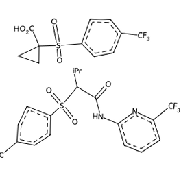 CC(C)C(C(=O)Nc1cccc(C(F)(F)F)n1)S(=O)(=O)c1ccc(C(F)(F)F)cc1.O=C(O)C1(S(=O)(=O)c2ccc(C(F)(F)F)cc2)CC1